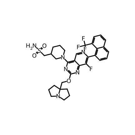 NS(=O)(=O)CC1CCCN(c2nc(OCC34CCCN3CCC4)nc3c(F)c(-c4cccc5cccc(C(F)(F)F)c45)ncc23)C1